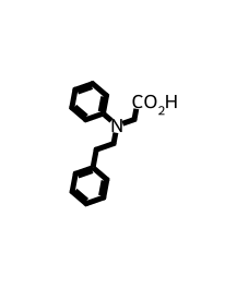 O=C(O)CN(CCc1ccccc1)c1ccccc1